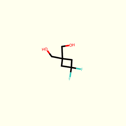 OCC1(CO)CC(F)(F)C1